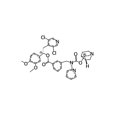 COc1ccc([C@H](Cc2c(Cl)cncc2Cl)OC(=O)c2cccc(CN(C(=O)O[C@H]3CN4CCC3CC4)c3ccccn3)c2)cc1OC